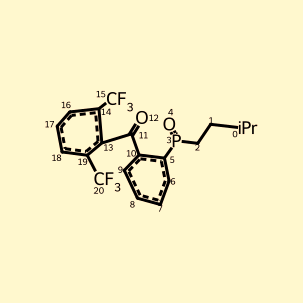 CC(C)CC[P](=O)c1ccccc1C(=O)c1c(C(F)(F)F)cccc1C(F)(F)F